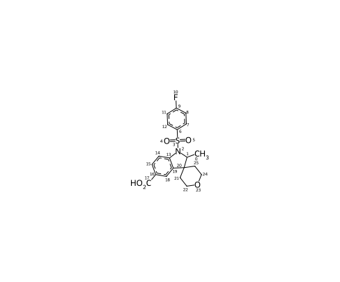 CC1N(S(=O)(=O)c2ccc(F)cc2)c2ccc(C(=O)O)cc2C12CCOCC2